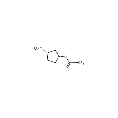 CO[C@H]1CCN(OC(=O)C(F)(F)F)C1